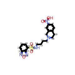 O=[N+](O)c1ccc2c(c1)CN(CCCCNS(=O)(=O)c1cccc3nonc13)CC2